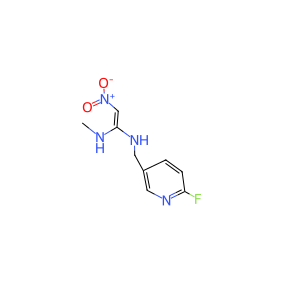 CN/C(=C\[N+](=O)[O-])NCc1ccc(F)nc1